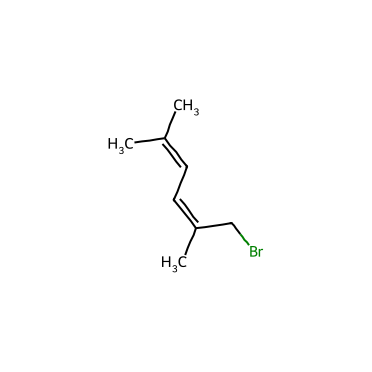 CC(C)=CC=C(C)CBr